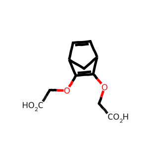 O=C(O)COC1=C(OCC(=O)O)C2C=CC1C2